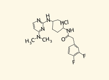 CN(C)c1ccnc(NC2CCC(NC(=O)Cc3ccc(F)c(F)c3)CC2)n1.Cl